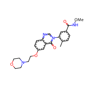 CONC(=O)c1ccc(C)c(-n2cnc3ccc(OCCN4CCOCC4)cc3c2=O)c1